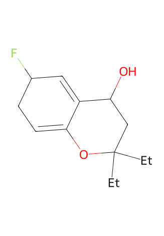 CCC1(CC)CC(O)C2=CC(F)CC=C2O1